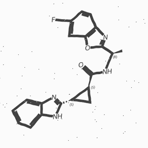 C[C@@H](NC(=O)[C@H]1C[C@@H]1c1nc2ccccc2[nH]1)c1nc2ccc(F)cc2o1